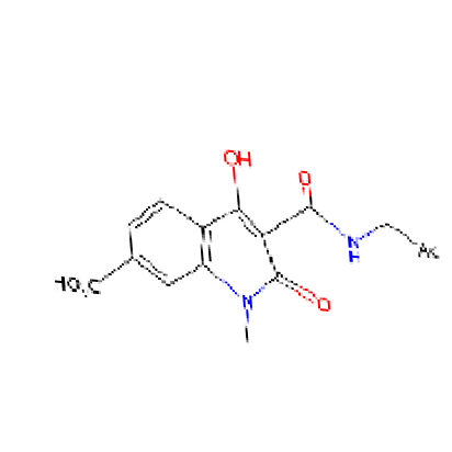 CC(=O)CNC(=O)c1c(O)c2ccc(C(=O)O)cc2n(C)c1=O